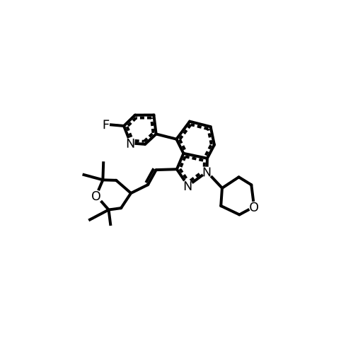 CC1(C)CC(C=Cc2nn(C3CCOCC3)c3cccc(-c4ccc(F)nc4)c23)CC(C)(C)O1